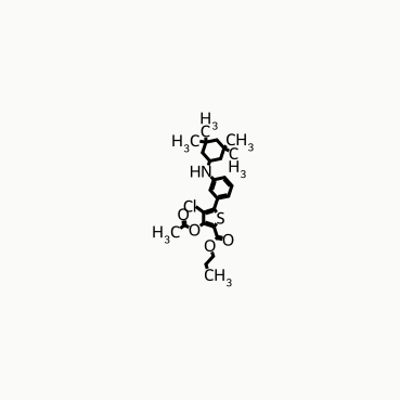 CCCOC(=O)c1sc(-c2cccc(NC3CC(C)(C)CC(C)(C)C3)c2)c(Cl)c1OC(C)=O